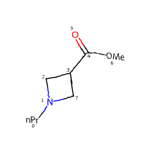 CCCN1CC(C(=O)OC)C1